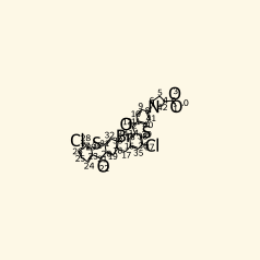 COC(=O)C1CCN(c2ccc3c(=O)c4cc(Cc5cc6c(=O)c7cccc(Cl)c7sc6cc5Br)cc(Cl)c4sc3c2)C1